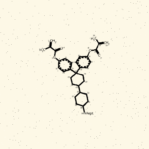 C=C(C)C(=O)Oc1ccc(C2(c3ccc(OC(=O)C(=C)C)cc3)CCC(C3CCC(CCCCCCC)CC3)CC2)cc1